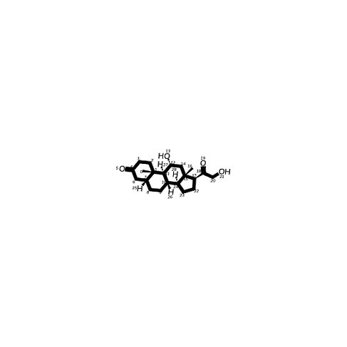 C[C@]12CCC(=O)C[C@H]1CC[C@@H]1[C@@H]2[C@H](O)C[C@]2(C)[C@@H](C(=O)CO)CC[C@@H]12